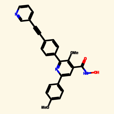 COc1ccc(-c2cc(C(=O)NO)c(OC)c(-c3ccc(C#Cc4cccnc4)cc3)n2)cc1